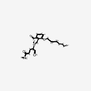 CNC(=O)CCC(C=O)N(C)Cc1c(C=O)cccc1OCCCCCCBr